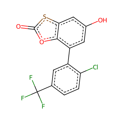 O=c1oc2c(-c3cc(C(F)(F)F)ccc3Cl)cc(O)cc2s1